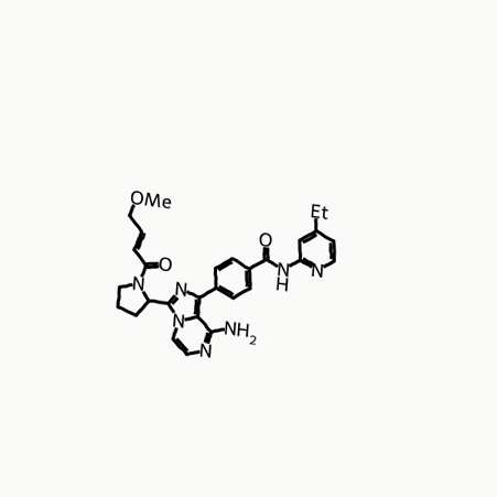 CCc1ccnc(NC(=O)c2ccc(-c3nc(C4CCCN4C(=O)C=CCOC)n4ccnc(N)c34)cc2)c1